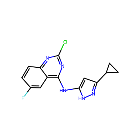 Fc1ccc2nc(Cl)nc(Nc3cc(C4CC4)n[nH]3)c2c1